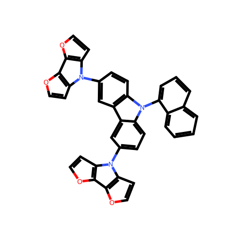 c1ccc2c(-n3c4ccc(-n5c6ccoc6c6occc65)cc4c4cc(-n5c6ccoc6c6occc65)ccc43)cccc2c1